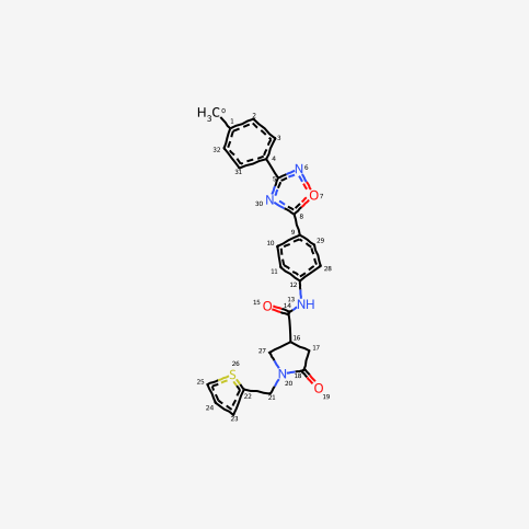 Cc1ccc(-c2noc(-c3ccc(NC(=O)C4CC(=O)N(Cc5cccs5)C4)cc3)n2)cc1